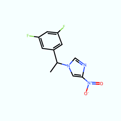 CC(c1cc(F)cc(F)c1)n1cnc([N+](=O)[O-])c1